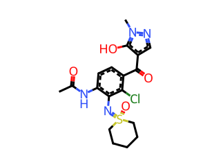 CC(=O)Nc1ccc(C(=O)c2cnn(C)c2O)c(Cl)c1N=S1(=O)CCCCC1